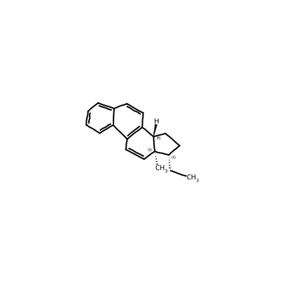 CC[C@H]1CC[C@H]2c3ccc4ccccc4c3C=C[C@]12C